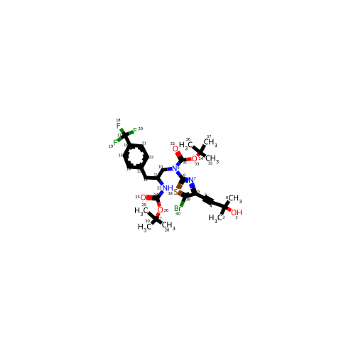 CC(C)(O)C#Cc1nc(N(CC(Cc2ccc(C(F)(F)F)cc2)NC(=O)OC(C)(C)C)C(=O)OC(C)(C)C)sc1Br